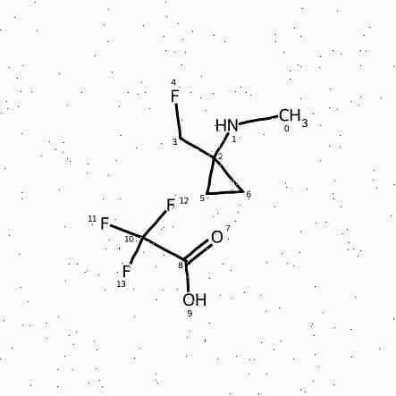 CNC1(CF)CC1.O=C(O)C(F)(F)F